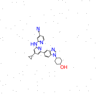 N#Cc1ccnc(Nc2cc(C3CC3)cc(-c3ccc4c(c3)ncn4C3CCC(O)CC3)n2)c1